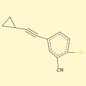 N#Cc1cc(C#CC2CC2)ccc1F